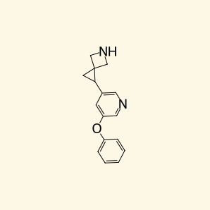 c1ccc(Oc2cncc(C3CC34CNC4)c2)cc1